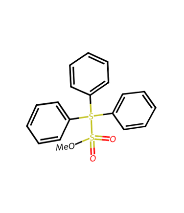 COS(=O)(=O)S(c1ccccc1)(c1ccccc1)c1ccccc1